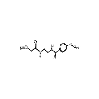 COCC(=O)NCCNC(=O)c1ccc(N=[N+]=[N-])cc1